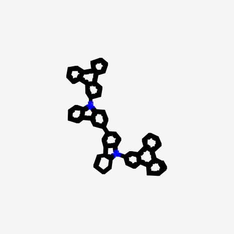 c1ccc2c(c#1)c1ccccc1c1cc(-n3c4c(c5cc(-c6ccc7c(c6)c6ccccc6n7-c6ccc7c8ccccc8c8ccccc8c7c6)ccc53)C=CCC4)ccc21